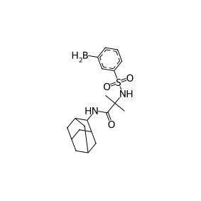 Bc1cccc(S(=O)(=O)NC(C)(C)C(=O)NC2C3CC4CC(C3)CC2C4)c1